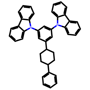 c1ccc(C2CCC(c3cc(-n4c5ccccc5c5ccccc54)cc(-n4c5ccccc5c5ccccc54)c3)CC2)cc1